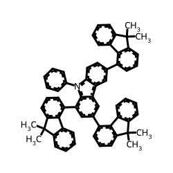 CC1(C)c2ccccc2-c2c(-c3ccc4c(c3)c3cc(-c5cccc6c5-c5ccccc5C6(C)C)cc(-c5cccc6c5-c5ccccc5C6(C)C)c3n4-c3ccccc3)cccc21